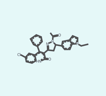 CCn1ccc2cc(C3CC(c4c(-c5ccccc5)c5cc(Cl)ccc5[nH]c4=O)=NN3C(C)=O)ccc21